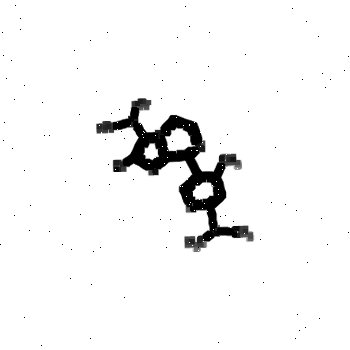 CCCN(CCC)c1c(CC)nc2c(-c3cnc(N(C)C)cc3C)nccn12